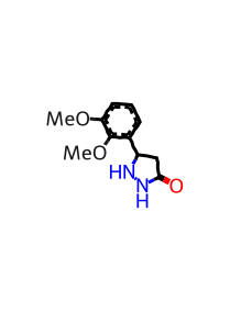 COc1cccc(C2CC(=O)NN2)c1OC